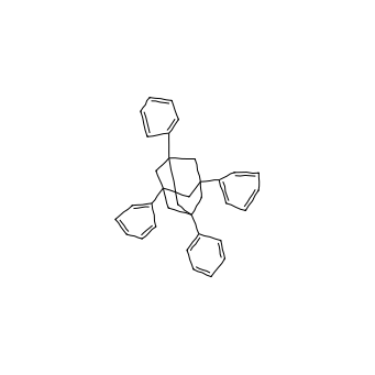 c1ccc(C23CC4(c5ccccc5)CC(c5ccccc5)(C2)CC(c2ccccc2)(C3)C4)cc1